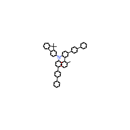 Cc1cccc(C)c1-c1cc(-c2ccc(-c3ccccc3)cc2)ccc1N(c1ccc(-c2ccc(-c3ccccc3)cc2)cc1)c1ccc2c(c1)C(C)(C)c1ccccc1-2